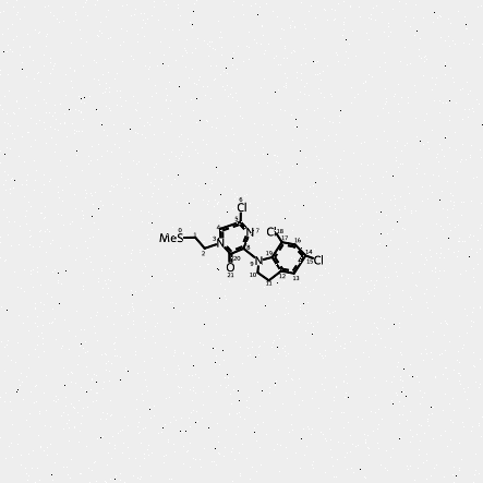 CSCCn1cc(Cl)nc(N2CCc3cc(Cl)cc(Cl)c32)c1=O